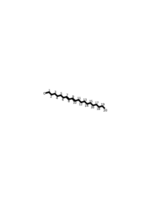 CCCCCCCC=CC=CCCCCCCCCCC